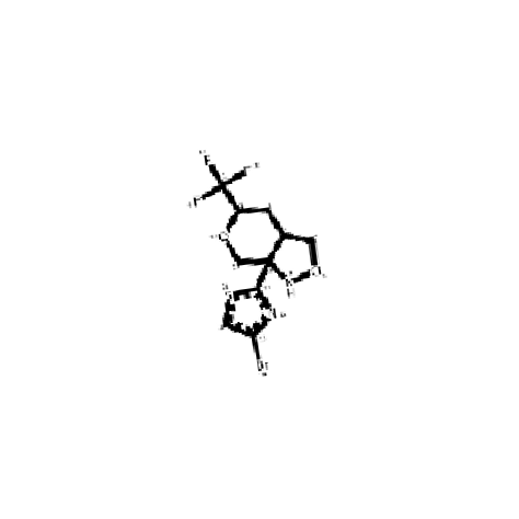 FC(F)(F)C1CC2CONC2(c2nc(Br)cs2)CO1